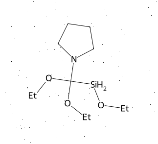 CCO[SiH2]C(OCC)(OCC)N1CCCC1